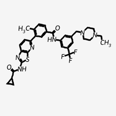 CCN1CCN(Cc2cc(NC(=O)c3ccc(C)c(-c4ccc5nc(NC(=O)C6CC6)sc5n4)c3)cc(C(F)(F)F)c2)CC1